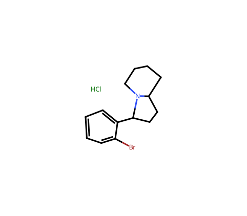 Brc1ccccc1C1CCC2CCCCN21.Cl